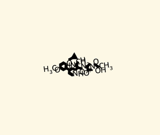 COc1ccc(OCC2CC2)c(-c2ccnc3c(C(=O)N[C@@H]4CN(C(=O)[C@H](C)O)C[C@@H]4O)c(C)[nH]c23)c1